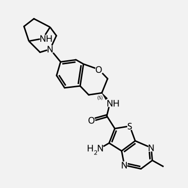 Cc1cnc2c(N)c(C(=O)N[C@@H]3COc4cc(N5CC6CCC(C5)N6)ccc4C3)sc2n1